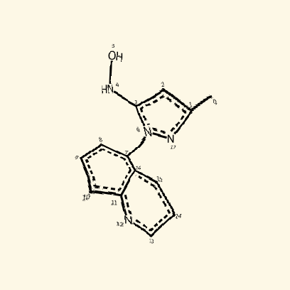 Cc1cc(NO)n(-c2cccc3ncccc23)n1